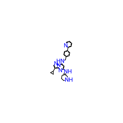 c1ccc(-c2ccc(CNc3cc(N[C@@H]4CCCNC4)nc4c(C5CC5)cnn34)cc2)nc1